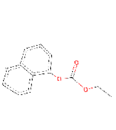 CCOC(=O)Oc1cccc2[c]cccc12